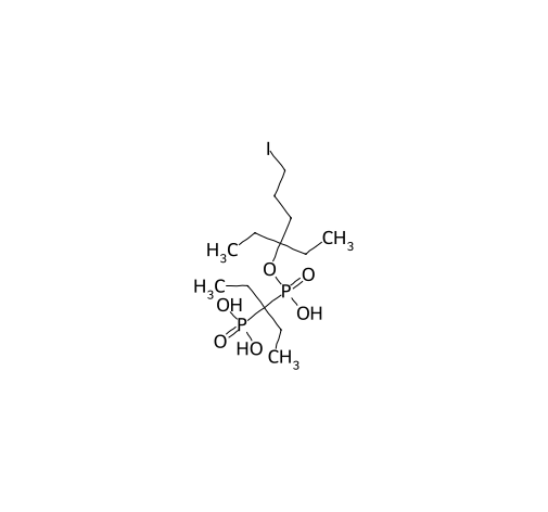 CCC(CC)(CCCI)OP(=O)(O)C(CC)(CC)P(=O)(O)O